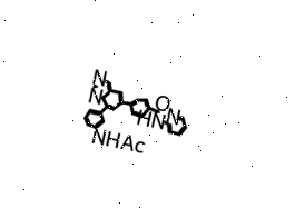 CC(=O)Nc1cccc(-c2cc(-c3ccc(C(=O)Nc4ccccn4)cc3)cc3cncnc23)c1